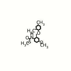 COc1ccc(NC(=O)SC)c(COc2ccc(C)cc2C)c1